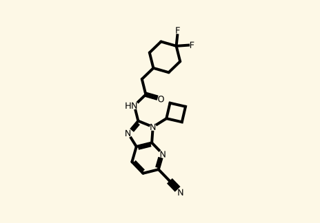 N#Cc1ccc2nc(NC(=O)CC3CCC(F)(F)CC3)n(C3CCC3)c2n1